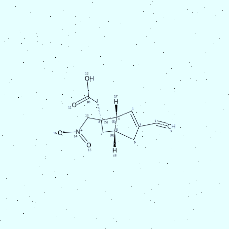 C#CC1=C[C@@H]2[C@H](C1)C[C@@]2(CC(=O)O)C[N+](=O)[O-]